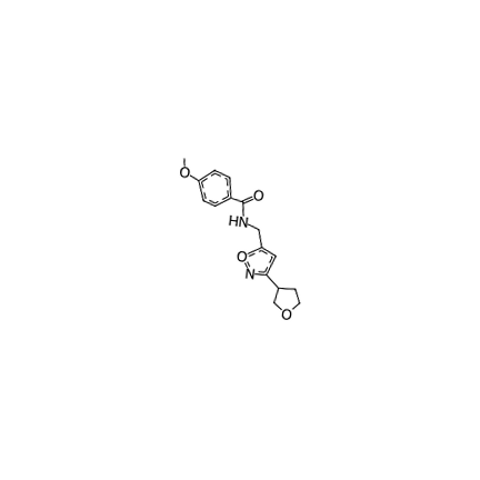 COc1ccc(C(=O)NCc2cc(C3CCOC3)no2)cc1